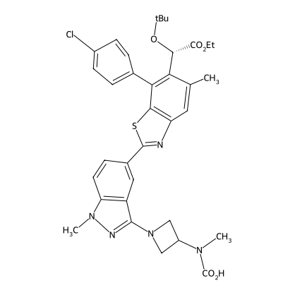 CCOC(=O)[C@@H](OC(C)(C)C)c1c(C)cc2nc(-c3ccc4c(c3)c(N3CC(N(C)C(=O)O)C3)nn4C)sc2c1-c1ccc(Cl)cc1